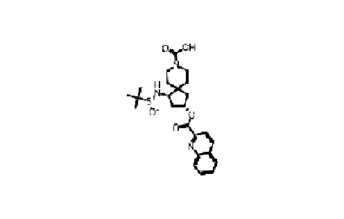 CC(C)(C)[S@@+]([O-])N[C@@H]1C[C@@H](OC(=O)c2ccc3ccccc3n2)CC12CCN(C(=O)O)CC2